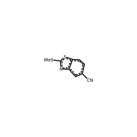 CSc1nc2cc(C#N)ccc2s1